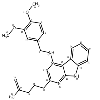 COc1ccc(CNc2nc(CCCC(=O)O)nc3[nH]c4ccccc4c23)cc1OC